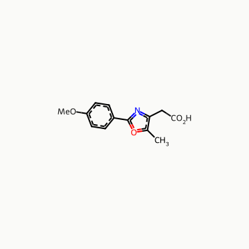 COc1ccc(-c2nc(CC(=O)O)c(C)o2)cc1